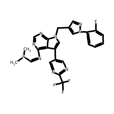 CN(C)/C=N\c1ncnc2c1c(-c1cnc(C(F)(F)F)nc1)cn2Cc1cnn(-c2ccccc2F)c1